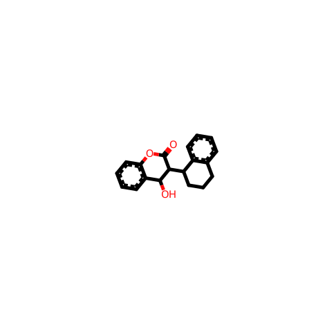 O=C1Oc2ccccc2C(O)C1C1CCCc2ccccc21